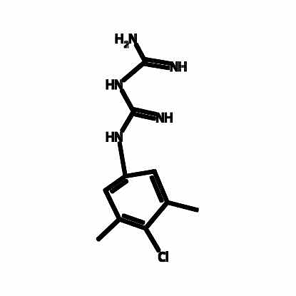 Cc1cc(NC(=N)NC(=N)N)cc(C)c1Cl